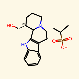 CC(C)S(=O)(=O)O.OC[C@@H]1CCCN2CCc3c([nH]c4ccccc34)C12